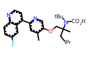 Cc1cc(-c2ccnc3ccc(F)cc23)ncc1OCC(C)(CC(C)C)N(C(=O)O)C(C)(C)C